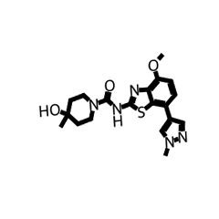 COc1ccc(-c2cnn(C)c2)c2sc(NC(=O)N3CCC(C)(O)CC3)nc12